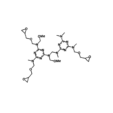 COCN(COCC1CO1)c1nc(N(C)COCC2CO2)nc(N(COC)CN(C)c2nc(N(C)C)nc(N(C)COCC3CO3)n2)n1